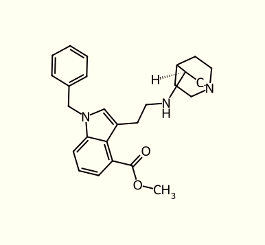 COC(=O)c1cccc2c1c(CCN[C@@H]1CN3CCC1CC3)cn2Cc1ccccc1